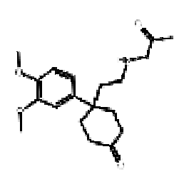 COc1ccc(C2(CCNCC(C)=O)CCC(=O)CC2)cc1OC